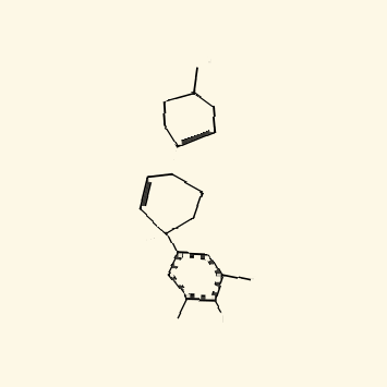 CCCCC1CC=C([C@H]2C=C[C@](O)(c3cc(F)c(F)c(F)c3)CC2)CC1